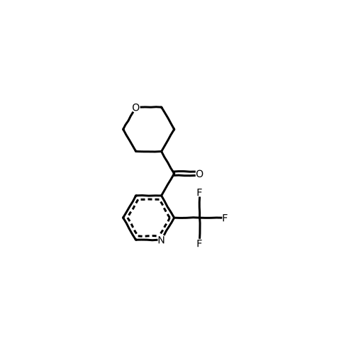 O=C(c1cccnc1C(F)(F)F)C1CCOCC1